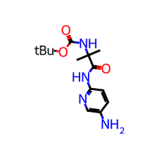 CC(C)(C)OC(=O)NC(C)(C)C(=O)Nc1ccc(N)cn1